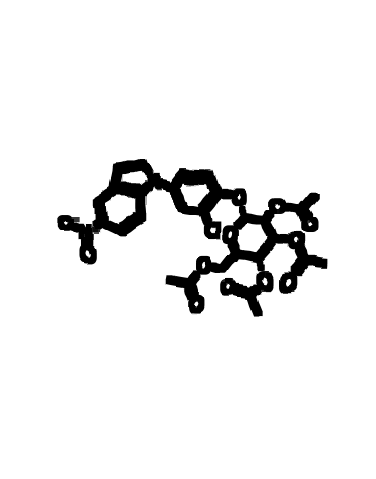 CC(=O)OCC1O[C@H](Oc2ccc(-n3ccc4cc([N+](=O)[O-])ccc43)cc2Cl)C(OC(C)=O)C(OC(C)=O)[C@@H]1OC(C)=O